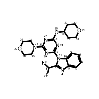 FC(F)c1nc2ccccc2n1-c1nc(OC2CCOCC2)nc(N2CCOCC2)n1